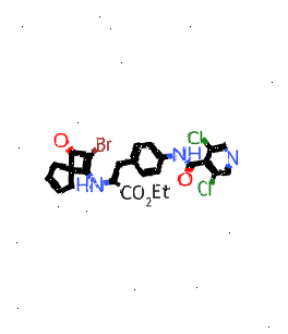 CCOC(=O)[C@H](Cc1ccc(NC(=O)c2c(Cl)cncc2Cl)cc1)NC1=C(Br)C(=O)C12CC=CC2